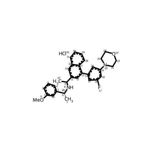 COc1cccc([C@@H](C)NC(C)c2cc(-c3cc(F)cc(N4CCOCC4)c3)c3ccccc3c2)c1.Cl